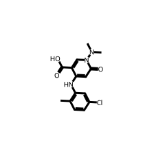 Cc1ccc(Cl)cc1Nc1cc(=O)n(N(C)C)cc1C(=O)O